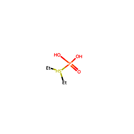 CC[SH](CC)P(=O)(O)O